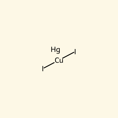 [Hg].[I][Cu][I]